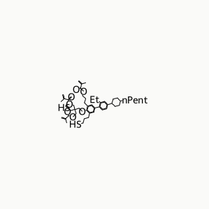 C=C(C)C(=O)OCCCc1cc(-c2ccc(C3CCC(CCCCC)CC3)cc2CC)cc(CCCS)c1OCC(CS)(COC(=O)C(=C)C)COC(=O)C(=C)C